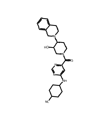 N#CC1CCC(Nc2cc(C(=O)N3CCC(N4CCc5ccccc5C4)C(O)C3)ncn2)CC1